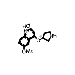 COc1ccc2nccc(O[C@H]3CCNC3)c2c1.Cl